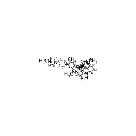 COc1cc(N2CCC(N3CCN(C)CC3)CC2)c(C)cc1Nc1ncc(Br)c(Nc2cccc(OC)c2NS(C)(=O)=O)n1